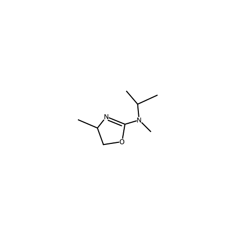 CC1COC(N(C)C(C)C)=N1